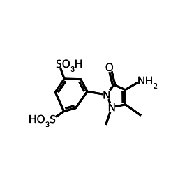 Cc1c(N)c(=O)n(-c2cc(S(=O)(=O)O)cc(S(=O)(=O)O)c2)n1C